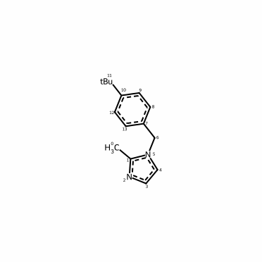 Cc1nccn1Cc1ccc(C(C)(C)C)cc1